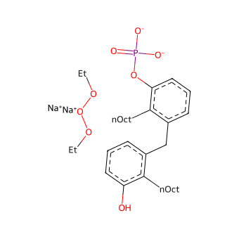 CCCCCCCCc1c(O)cccc1Cc1cccc(OP(=O)([O-])[O-])c1CCCCCCCC.CCOOOCC.[Na+].[Na+]